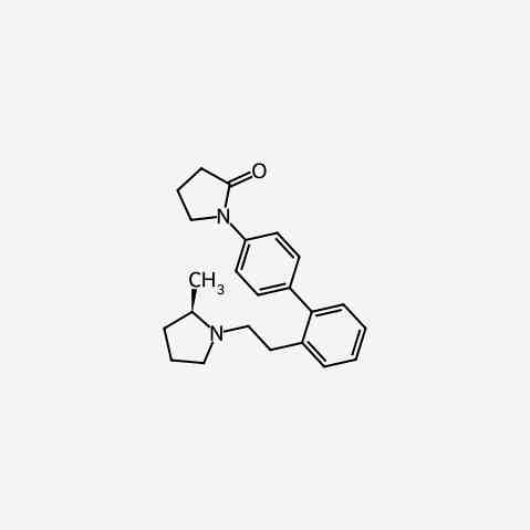 C[C@@H]1CCCN1CCc1ccccc1-c1ccc(N2CCCC2=O)cc1